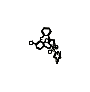 Cn1cnc(S(=O)(=O)[N+]2(Cc3ccc(Cl)cc3Cl)C=CC(c3ccccc3F)=C2)c1